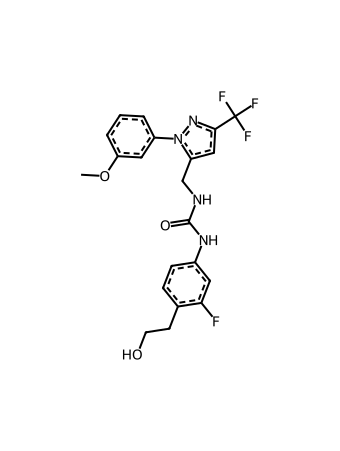 COc1cccc(-n2nc(C(F)(F)F)cc2CNC(=O)Nc2ccc(CCO)c(F)c2)c1